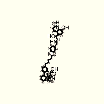 O=C(O)N(c1cc(CCCCc2nc3ccc(CNC[C@H](O)c4ccc(O)c5[nH]c(=O)ccc45)cc3o2)ccc1-c1ccccc1)[C@H]1CN2CCC1CC2